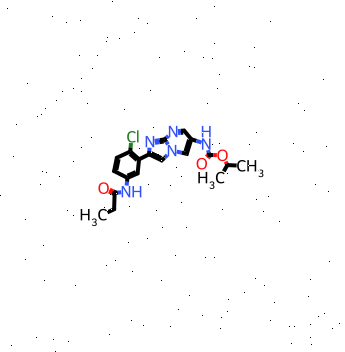 CCC(=O)Nc1ccc(Cl)c(-c2cn3cc(NC(=O)OC(C)C)cnc3n2)c1